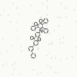 O=c1c2ccc(-n3c4ccccc4c4c5c6ccccc6oc5c5oc6ccccc6c5c43)cc2oc2ccc(-c3cccc(-c4ccccc4)c3)cc12